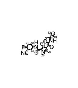 Cc1c(C(=O)C(=O)NC2(C)COC2)c(Cl)c(C(=O)Nc2ccc(F)c(C#N)c2)n1C